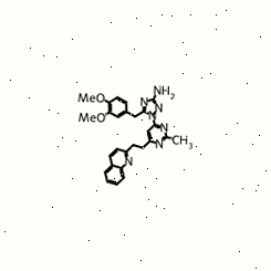 COc1ccc(Cc2nc(N)nn2-c2cc(CCc3ccc4ccccc4n3)nc(C)n2)cc1OC